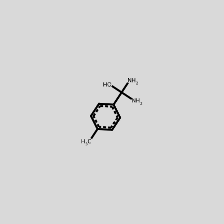 Cc1ccc(C(N)(N)O)cc1